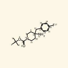 CC(C)(C)OC(=O)N1CCC(N)(Cc2ccc(F)cc2)CC1